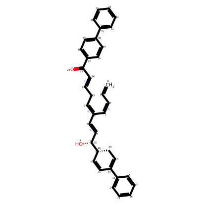 C=C\C=C/C(/C=C/[C@@H](O)[C@H]1C=CC(c2ccccc2)=CC1)=C\C/C=C/C(=O)c1ccc(-c2ccccc2)cc1